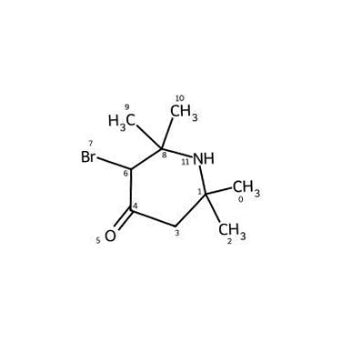 CC1(C)CC(=O)C(Br)C(C)(C)N1